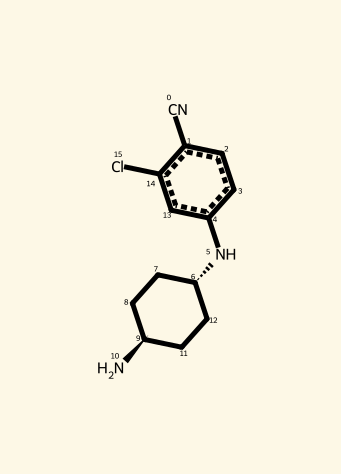 N#Cc1ccc(N[C@H]2CC[C@H](N)CC2)cc1Cl